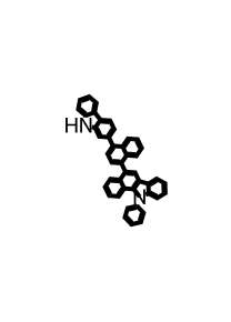 c1ccc(-n2c3ccccc3c3cc(-c4ccc(-c5ccc6c(c5)[nH]c5ccccc56)c5ccccc45)c4ccccc4c32)cc1